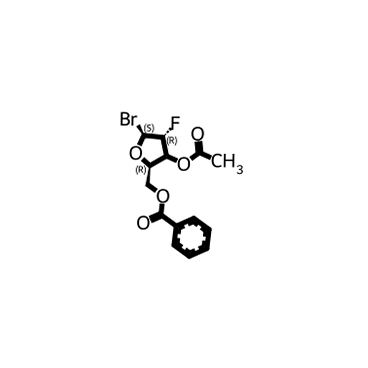 CC(=O)OC1[C@@H](F)[C@H](Br)O[C@@H]1COC(=O)c1ccccc1